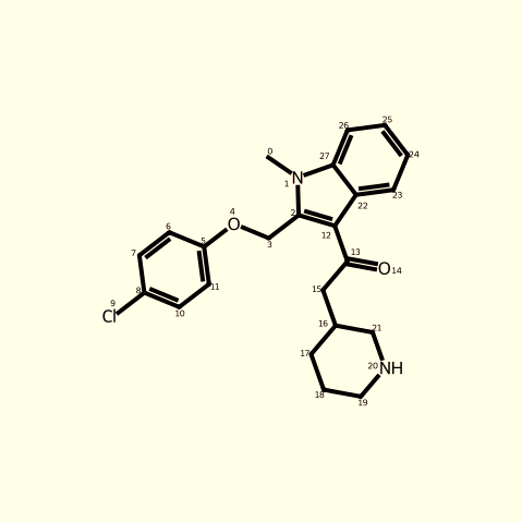 Cn1c(COc2ccc(Cl)cc2)c(C(=O)CC2CCCNC2)c2ccccc21